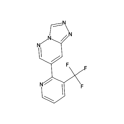 FC(F)(F)c1cccnc1-c1cnn2cnnc2c1